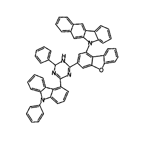 c1ccc(C2N=C(c3cccc4c3c3ccccc3n4-c3ccccc3)N=C(c3cc(-n4c5ccccc5c5cc6ccccc6cc54)c4c(c3)oc3ccccc34)N2)cc1